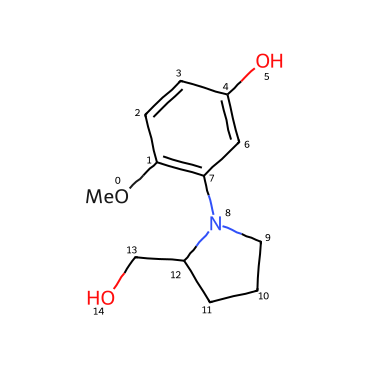 COc1ccc(O)cc1N1CCCC1CO